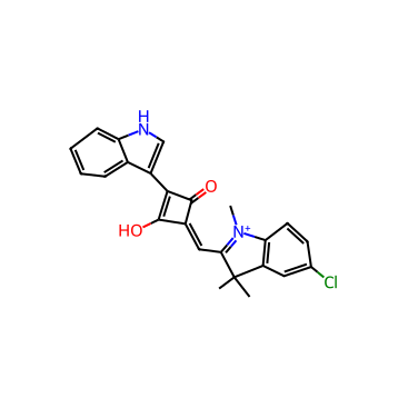 C[N+]1=C(/C=C2\C(=O)C(c3c[nH]c4ccccc34)=C2O)C(C)(C)c2cc(Cl)ccc21